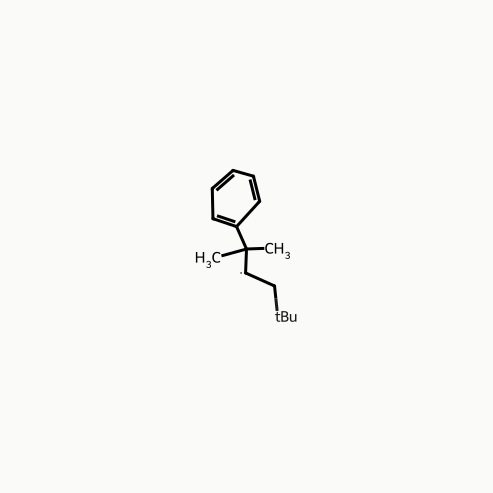 CC(C)(C)C[CH]C(C)(C)c1ccccc1